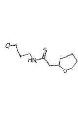 S=C(CC1CCCCO1)NCCCCl